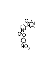 Cc1cn(C2CCCN(C(=O)Oc3ccc([N+](=O)[O-])cc3)C2)c(=O)c(C)n1